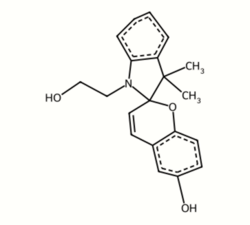 CC1(C)c2ccccc2N(CCO)C12C=Cc1cc(O)ccc1O2